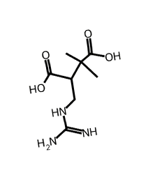 CC(C)(C(=O)O)C(CNC(=N)N)C(=O)O